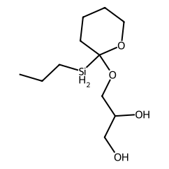 CCC[SiH2]C1(OCC(O)CO)CCCCO1